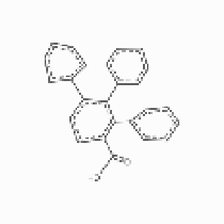 O=C(O)c1ccc(-c2ccccc2)c(-c2ccccc2)c1-c1ccccc1